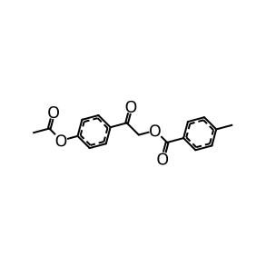 CC(=O)Oc1ccc(C(=O)COC(=O)c2ccc(C)cc2)cc1